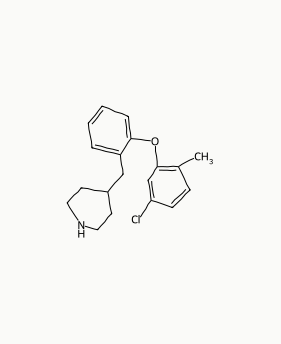 Cc1ccc(Cl)cc1Oc1ccccc1CC1CCNCC1